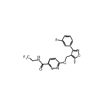 Cc1onc(-c2cccc(F)c2)c1COc1ccc(C(=O)NCC(F)(F)F)nn1